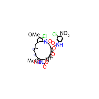 COc1cc2cc(c1Cl)N(C)C(=O)C[C@H](OC(=O)Nc1ccc([N+](=O)[O-])c(Cl)c1)[C@]1(C)O[C@H]1[C@H](C)[C@@H]1C[C@@](O)(NC(=O)O1)[C@H](OC)/C=C/C=C(\C)C2